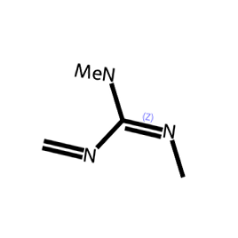 C=N/C(=N\C)NC